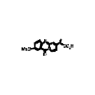 COc1ccc2nc3cc(C(C)C(=O)O)ccn3c(=O)c2c1